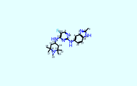 Cc1nc2cc(Nc3ncc(F)c(NC4CC(C)(C)N(C)C(C)(C)C4)n3)ccc2[nH]1